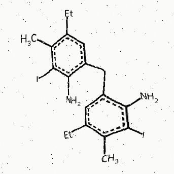 CCc1cc(Cc2cc(CC)c(C)c(I)c2N)c(N)c(I)c1C